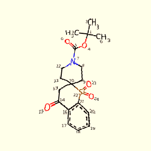 CC(C)(C)OC(=O)N1CCC2(CC1)CC(=O)c1ccccc1S2(=O)=O